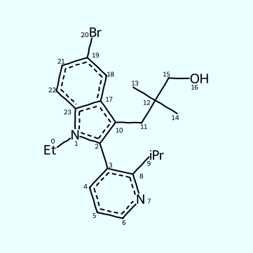 CCn1c(-c2cccnc2C(C)C)c(CC(C)(C)CO)c2cc(Br)ccc21